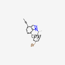 CC#Cc1ccc(C(=O)O)c2c1cnn2[C@H](C)c1ccc(Br)cc1